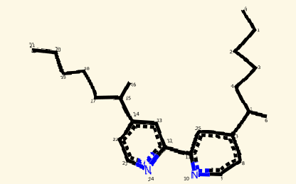 CCCCCC(C)c1ccnc(-c2cc(C(C)CCCCC)ccn2)c1